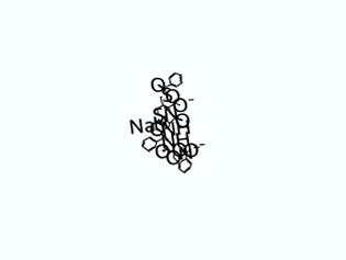 O=C(COc1ccccc1[N+](=O)[O-])N[C@H](C(=O)NC1C(=O)N2C(C(=O)[O-])=C(CSC(=O)c3ccccc3)CS[C@@H]12)c1ccccc1.[Na+]